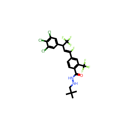 CC(C)(C)CNNC(=O)c1ccc(/C(F)=C/C(c2cc(Cl)c(Cl)c(Cl)c2)C(F)(F)F)cc1C(F)(F)F